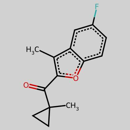 Cc1c(C(=O)C2(C)CC2)oc2ccc(F)cc12